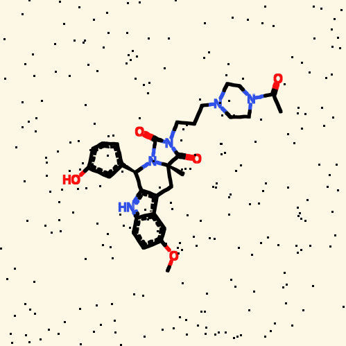 COc1ccc2[nH]c3c(c2c1)C[C@@]1(C)C(=O)N(CCCN2CCN(C(C)=O)CC2)C(=O)N1[C@@H]3c1cccc(O)c1